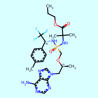 CCCOC(=O)C(C)(C)NP(=O)(CO[C@@H](C)Cn1cnc2c(N)ncnc21)N[C@H](c1ccc(C)cc1)C(F)(F)F